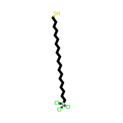 SCCCCCCCCCCCCCCCCCCCC[Si](Cl)(Cl)Cl